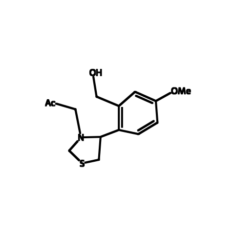 COc1ccc(C2CSCN2CC(C)=O)c(CO)c1